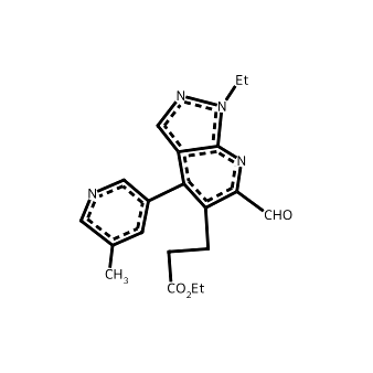 CCOC(=O)CCc1c(C=O)nc2c(cnn2CC)c1-c1cncc(C)c1